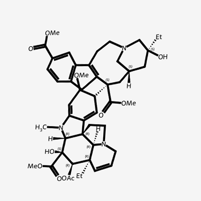 CC[C@]1(O)C[C@H]2CN(CCC3=C(Cc4ccc(C(=O)OC)cc43)[C@@](C(=O)OC)(C3C=C4C(=CC3OC)N(C)[C@H]3[C@@](O)(C(=O)OC)[C@H](OC(C)=O)[C@]5(CC)C=CCN6CC[C@]43[C@@H]65)C2)C1